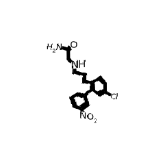 NC(=O)CNCCCc1ccc(Cl)cc1-c1cccc([N+](=O)[O-])c1